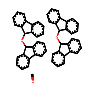 C=O.c1ccc2c(c1)-c1ccccc1C2OC1c2ccccc2-c2ccccc21.c1ccc2c(c1)-c1ccccc1C2OC1c2ccccc2-c2ccccc21